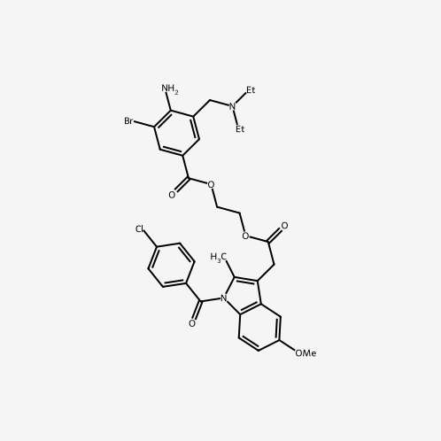 CCN(CC)Cc1cc(C(=O)OCCOC(=O)Cc2c(C)n(C(=O)c3ccc(Cl)cc3)c3ccc(OC)cc23)cc(Br)c1N